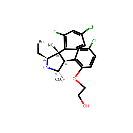 CC(C)(C)C[C@@H]1N[C@@H](C(=O)O)[C@H](c2cc(Cl)ccc2OCCO)[C@@]1(C#N)c1ccc(Cl)cc1F